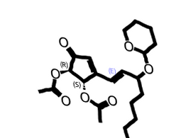 CCCCCC(/C=C/C1=CC(=O)[C@H](OC(C)=O)[C@H]1OC(C)=O)OC1CCCCO1